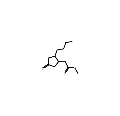 CCCCC1CC(=O)CC1CC(=O)OC